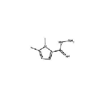 Cc1ccc(C(=N)NN)n1C